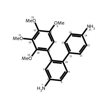 COc1cc(-c2cc(N)ccc2-c2ccc(N)cc2)c(OC)c(OC)c1OC